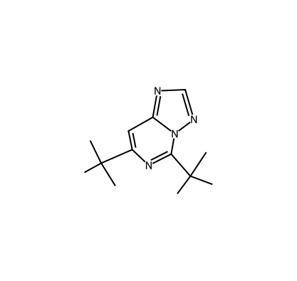 CC(C)(C)c1cc2ncnn2c(C(C)(C)C)n1